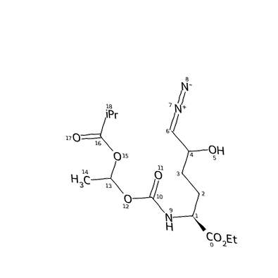 CCOC(=O)[C@H](CCC(O)C=[N+]=[N-])NC(=O)OC(C)OC(=O)C(C)C